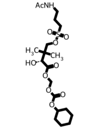 CC(=O)NCCCS(=O)(=O)OCC(C)(C)[C@@H](O)C(=O)OCOC(=O)OC1CCCCC1